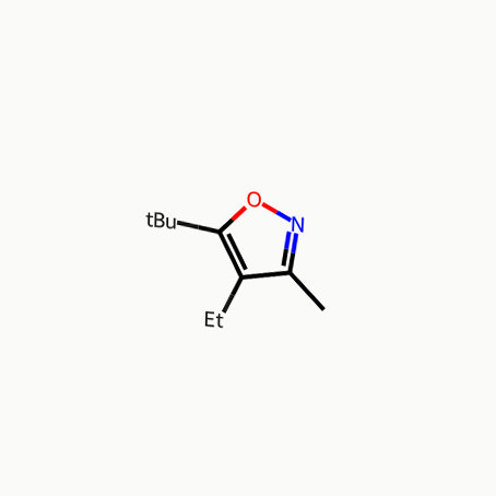 CCc1c(C)noc1C(C)(C)C